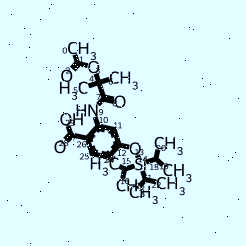 CC(=O)OC(C)(C)C(=O)Nc1cc(O[Si](C(C)C)(C(C)C)C(C)C)ccc1C(=O)O